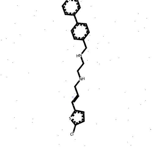 Clc1ccc(/C=C/CNCCNCc2ccc(-c3ccncc3)cc2)s1